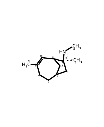 CN[C@@]1(C)CC2CCC(C)=CC1C2